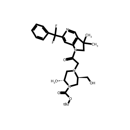 C[C@@H]1CN(CC(=O)N2CC(C)(C)c3cnc(C(F)(F)c4ccccc4)cc32)[C@@H](CO)CN1C(=O)OC(C)(C)C